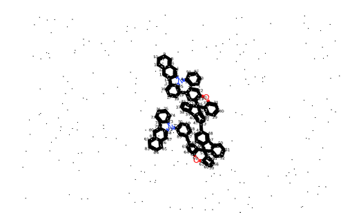 c1ccc(-n2c3cc4ccccc4cc3c3cccc(-c4ccc5c(c4)C4(c6ccccc6O5)c5ccccc5-c5cc(-c6ccc7c(c6)-c6ccccc6C76c7ccccc7Oc7ccc(-c8cccc(-n9c%10ccccc%10c%10cc%11ccccc%11cc%109)c8)cc76)ccc54)c32)cc1